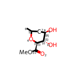 COC(=O)[C@H]1OC(C)C[C@@H](O)[C@@H]1O